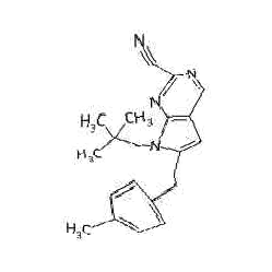 Cc1ccc(Cc2cc3cnc(C#N)nc3n2CC(C)(C)C)cc1